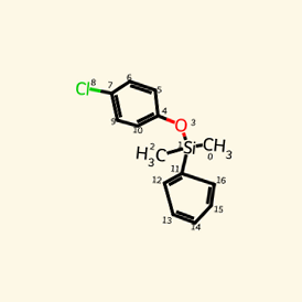 C[Si](C)(Oc1ccc(Cl)cc1)c1ccccc1